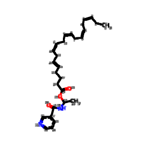 CC/C=C\C/C=C\C/C=C\C/C=C\CC=CCCCC(=O)OC(C)NC(=O)c1cccnc1